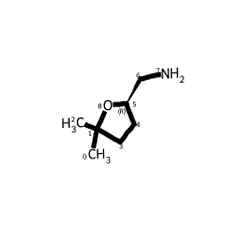 CC1(C)CC[C@H](CN)O1